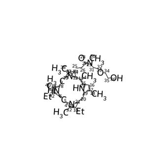 CCC1=C(C)c2cc3[nH]c(cc4nc(c(C)c5cc(C)c(cc1n2)[nH]5)[C@@H](CCC(=O)N(C)CCOCCO)[C@@H]4C)c(C)c3CC